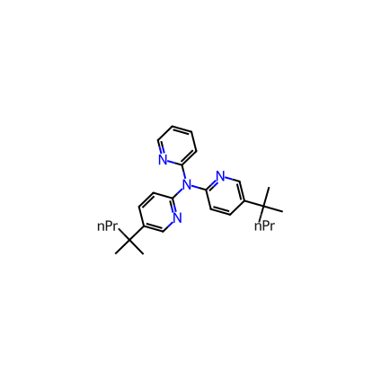 CCCC(C)(C)c1ccc(N(c2ccccn2)c2ccc(C(C)(C)CCC)cn2)nc1